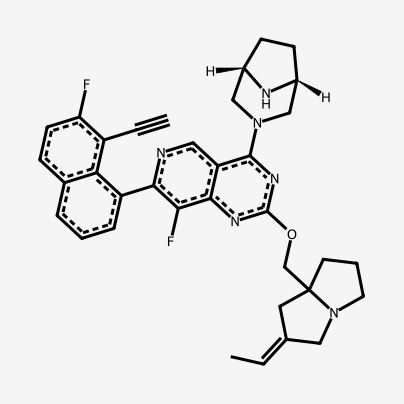 C#Cc1c(F)ccc2cccc(-c3ncc4c(N5C[C@H]6CC[C@@H](C5)N6)nc(OCC56CCCN5CC(=CC)C6)nc4c3F)c12